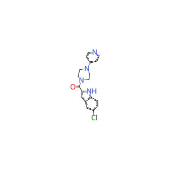 O=C(c1cc2cc(Cl)ccc2[nH]1)N1CCN(c2ccncc2)CC1